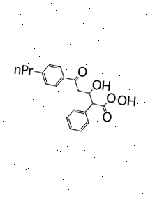 CCCc1ccc(C(=O)CC(O)C(C(=O)OO)c2ccccc2)cc1